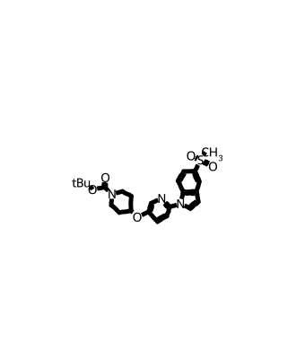 CC(C)(C)OC(=O)N1CCC(Oc2ccc(-n3ccc4cc(S(C)(=O)=O)ccc43)nc2)CC1